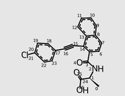 C[C@H](NC(=O)c1ccc2ccccc2c1C#Cc1ccc(Cl)cc1)C(=O)O